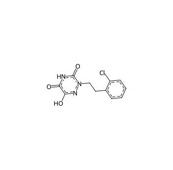 O=c1[nH]c(=O)n(CCc2ccccc2Cl)nc1O